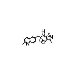 Cc1ccc2cc(CC(=O)Nc3snc(C)c3Cl)ccc2n1